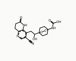 N#Cc1cnc2c(c1CC(O)C13CCC(NC(=O)O)(CC1)CO3)NC(=O)CC2